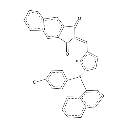 O=C1C(=Cc2ccc(N(c3ccc(Cl)cc3)c3cccc4ccccc34)[se]2)C(=O)c2cc3ccccc3cc21